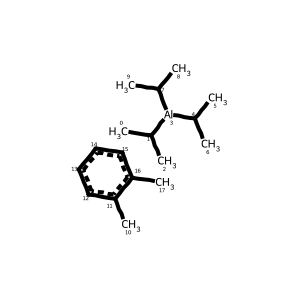 C[CH](C)[Al]([CH](C)C)[CH](C)C.Cc1ccccc1C